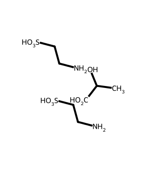 CC(O)C(=O)O.NCCS(=O)(=O)O.NCCS(=O)(=O)O